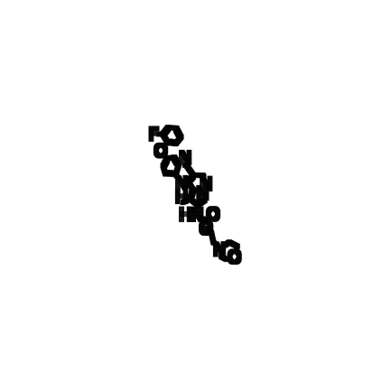 Cc1c(NC(=O)OCCN2CCOCC2)cn2ncc(C#N)c(Nc3ccc(Oc4ccccc4F)cc3)c12